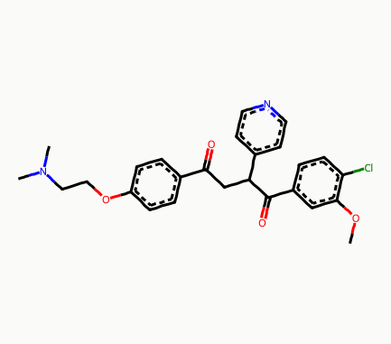 COc1cc(C(=O)C(CC(=O)c2ccc(OCCN(C)C)cc2)c2ccncc2)ccc1Cl